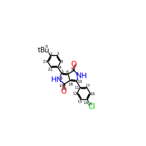 CC(C)(C)c1ccc(C2=C3C(=O)NC(c4ccc(Cl)cc4)=C3C(=O)N2)cc1